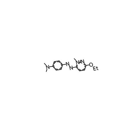 CCOc1ccc(N=Nc2ccc(N(C)C)cc2)[n+](C)n1